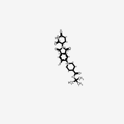 CC(C)(C)OC(=O)C1CCN(c2cc3c(cc2F)C(=O)N(C2CCC(=O)NC2=O)C3=O)CC1